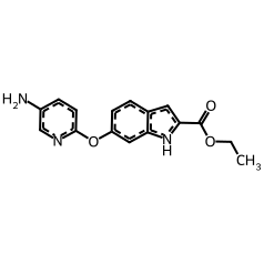 CCOC(=O)c1cc2ccc(Oc3ccc(N)cn3)cc2[nH]1